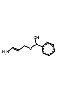 NC=CCOB(O)c1ccccc1